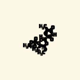 CC[C@H](OC(C)n1cc(C)c(=O)[nH]c1=O)C(C)OP(=O)(O)OC